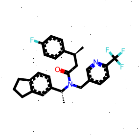 C[C@H](c1ccc2c(c1)CCC2)N(Cc1ccc(C(F)(F)F)nc1)C(=O)C[C@H](C)c1ccc(F)cc1